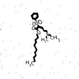 CCCCCCCCCCCOC(=O)C(=CC=CN(CC)CC)S(=O)(=O)c1ccccc1